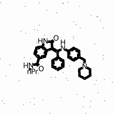 CCCNC(=O)c1ccc2c(c1)/C(=C(/Nc1ccc(CN3CCCCC3)cc1)c1ccccc1)C(=O)N2